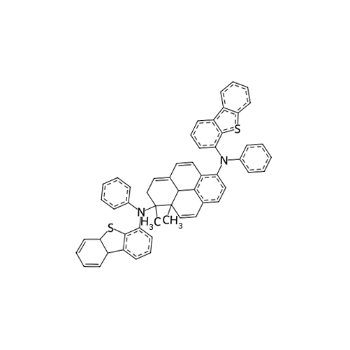 CC12C=Cc3ccc(N(c4ccccc4)c4cccc5c4sc4ccccc45)c4c3C1C(=CCC2(C)N(c1ccccc1)c1cccc2c1SC1C=CC=CC21)C=C4